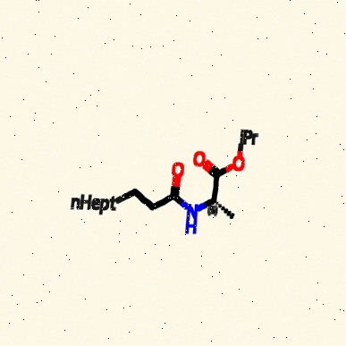 CCCCCCCCCC(=O)N[C@@H](C)C(=O)OC(C)C